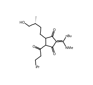 CCCCC(NC)=C1C(=O)C(CC[C@@H](C)CO)C(C(=O)CCC(C)C)C1=O